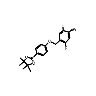 CC(C)c1cc(F)c(COc2ccc(B3OC(C)(C)C(C)(C)O3)cc2)cc1F